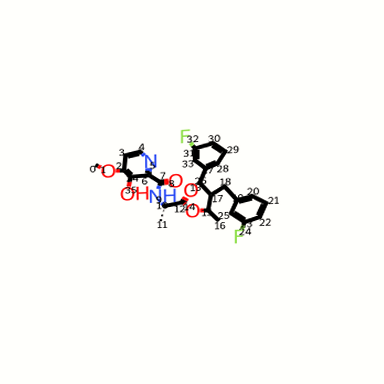 COc1ccnc(C(=O)N[C@@H](C)C(=O)OC(C)C(Cc2cccc(F)c2)Cc2cccc(F)c2)c1O